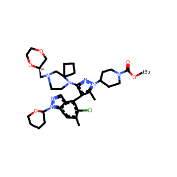 Cc1cc2c(cnn2C2CCCCO2)c(-c2c(N3CCN(C[C@@H]4COCCO4)CC34CCC4)nn(C3CCN(C(=O)OC(C)(C)C)CC3)c2C)c1Cl